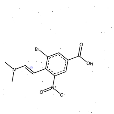 CN(C)/C=C/c1c(Br)cc(C(=O)O)cc1[N+](=O)[O-]